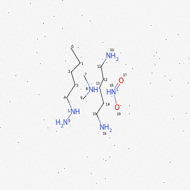 CCCCCNN.CNC.NCCCCCN.O=[NH+][O-]